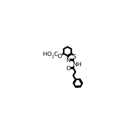 O=C(CCc1ccccc1)Nc1nc2c(s1)CCCC2OC(=O)O